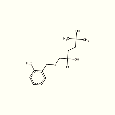 CCC(O)(CCC(C)(C)O)COCc1ccccc1C